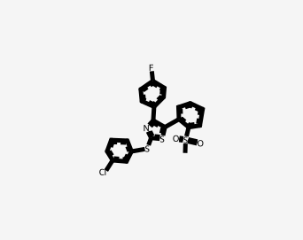 CS(=O)(=O)c1ccccc1-c1sc(Sc2cccc(Cl)c2)nc1-c1ccc(F)cc1